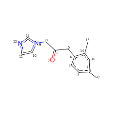 Cc1ccc(CC(=O)Cn2ccnc2)c(C)c1